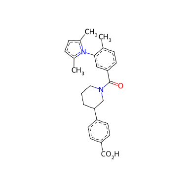 Cc1ccc(C(=O)N2CCCC(c3ccc(C(=O)O)cc3)C2)cc1-n1c(C)ccc1C